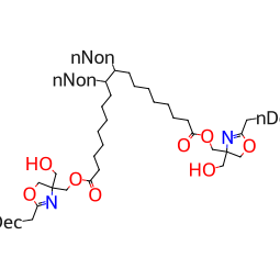 CCCCCCCCCCCC1=NC(CO)(COC(=O)CCCCCCCC(CCCCCCCCC)C(CCCCCCCCC)CCCCCCCC(=O)OCC2(CO)COC(CCCCCCCCCCC)=N2)CO1